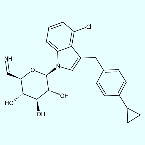 N=C[C@H]1O[C@@H](n2cc(Cc3ccc(C4CC4)cc3)c3c(Cl)cccc32)[C@H](O)[C@@H](O)[C@@H]1O